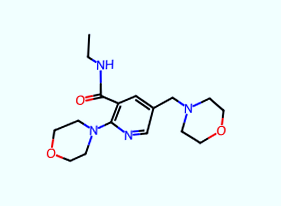 CCNC(=O)c1cc(CN2CCOCC2)cnc1N1CCOCC1